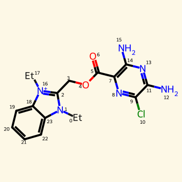 CCn1c(COC(=O)c2nc(Cl)c(N)nc2N)[n+](CC)c2ccccc21